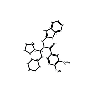 COc1ccc(C(=O)N(Cc2nc3ccccc3s2)C(CC2CCCCC2)C2CCCN2)cc1OC